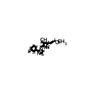 CCc1cc(C#CCOC)nnc1Cn1ccnc1-c1cccc(F)c1